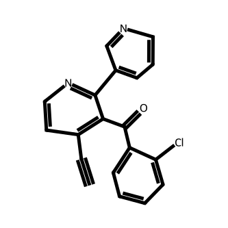 C#Cc1ccnc(-c2cccnc2)c1C(=O)c1ccccc1Cl